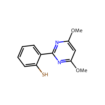 COc1cc(OC)nc(-c2ccccc2S)n1